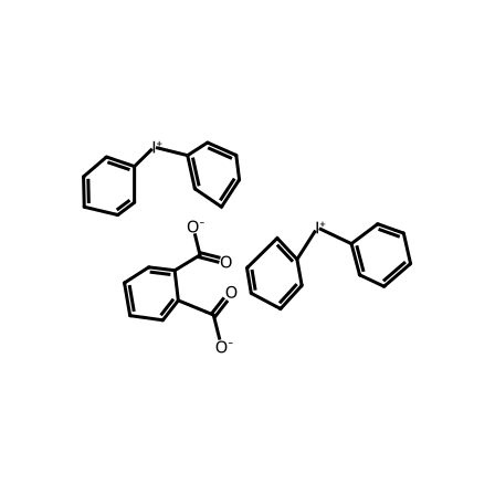 O=C([O-])c1ccccc1C(=O)[O-].c1ccc([I+]c2ccccc2)cc1.c1ccc([I+]c2ccccc2)cc1